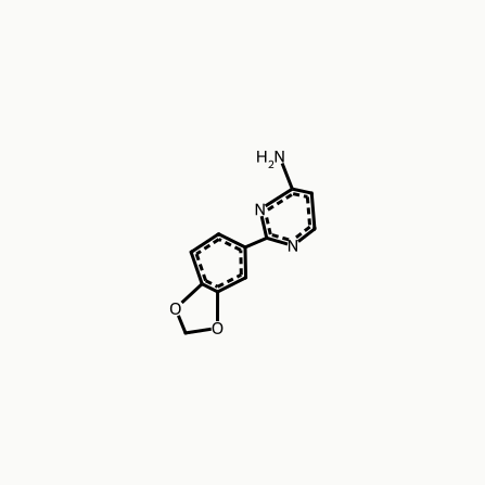 Nc1ccnc(-c2ccc3c(c2)OCO3)n1